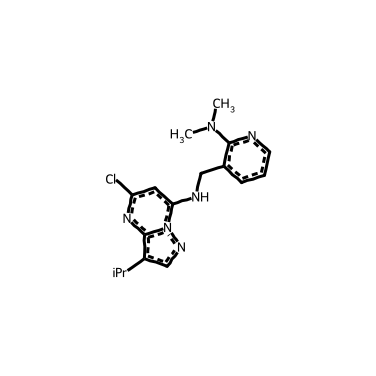 CC(C)c1cnn2c(NCc3cccnc3N(C)C)cc(Cl)nc12